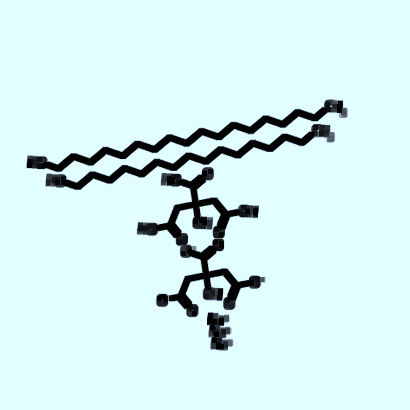 CCCCCCCCCCCCCCCCCCO.CCCCCCCCCCCCCCCCO.O=C(O)CC(O)(CC(=O)O)C(=O)O.O=C([O-])CC(O)(CC(=O)[O-])C(=O)[O-].[Na+].[Na+].[Na+]